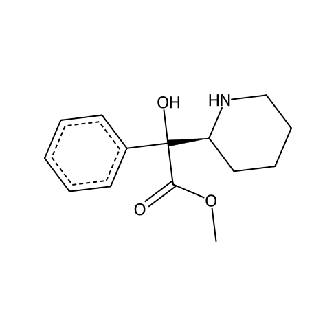 COC(=O)C(O)(c1ccccc1)[C@@H]1CCCCN1